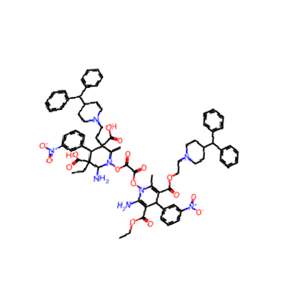 CCOC(=O)C1=C(N)N(OC(=O)C(=O)ON2C(C)C(CCN3CCC(C(c4ccccc4)c4ccccc4)CC3)(C(=O)O)C(c3cccc([N+](=O)[O-])c3)C(CC)(C(=O)O)C2N)C(C)=C(C(=O)OCCN2CCC(C(c3ccccc3)c3ccccc3)CC2)C1c1cccc([N+](=O)[O-])c1